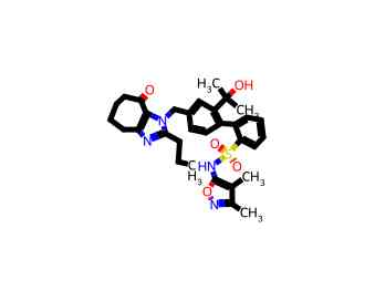 CCCc1nc2c(n1Cc1ccc(-c3ccccc3S(=O)(=O)Nc3onc(C)c3C)c(C(C)(C)O)c1)C(=O)CCCC2